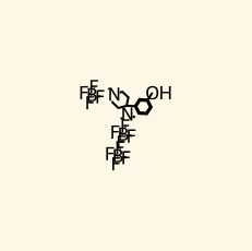 CN1CCC(c2cccc(O)c2)(N(C)C)CC1.F[B-](F)(F)F.F[B-](F)(F)F.F[B-](F)(F)F